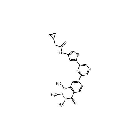 COc1cc(-c2cncc(-c3cc(NC(=O)CC4CC4)cs3)n2)ccc1C(=O)N(C)OC